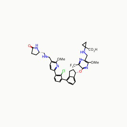 COc1nc(-c2cccc(-c3cccc4c3CC[C@@H]4Oc3nc(OC)c(CNC4(C(=O)O)CC4)nc3C(F)(F)F)c2Cl)ccc1CNC[C@@H]1CCC(=O)N1